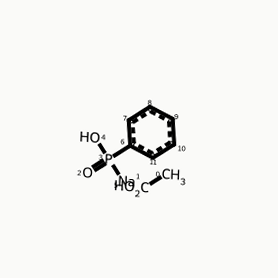 CC(=O)O.O=[P](O)([Na])c1ccccc1